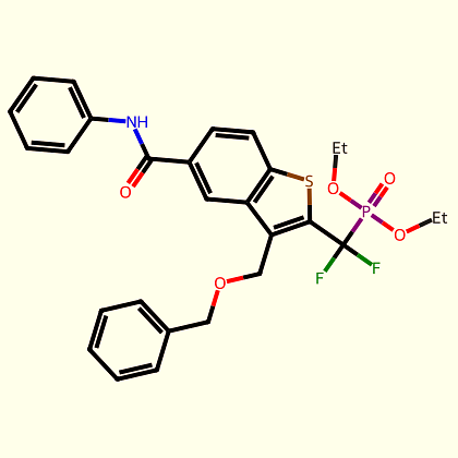 CCOP(=O)(OCC)C(F)(F)c1sc2ccc(C(=O)Nc3ccccc3)cc2c1COCc1ccccc1